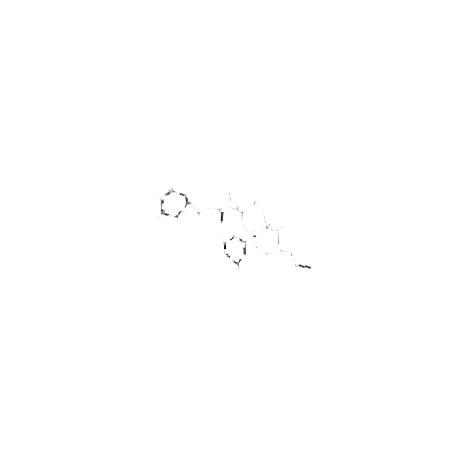 C=CCN1CCC2(c3cccc(O)c3)CC(N(C)C(=O)OCc3ccccc3)CCC2C1